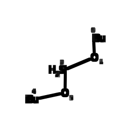 CCC(C)O[SiH2]OC(C)CC